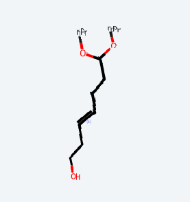 CCCOC(CC/C=C/CCO)OCCC